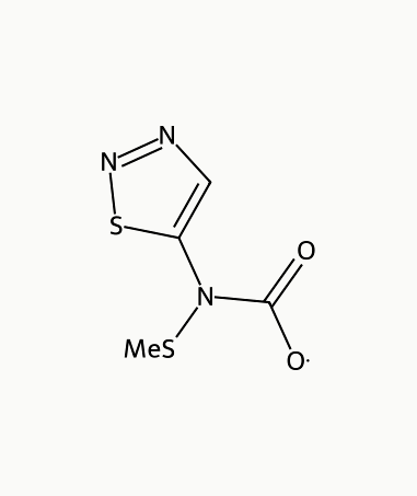 CSN(C([O])=O)c1cnns1